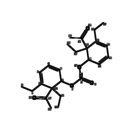 CCC1=CC=CC(O[PH](=O)OC2C=CC=C(CC)C2(CC)C(C)=O)C1(CC)C(C)=O